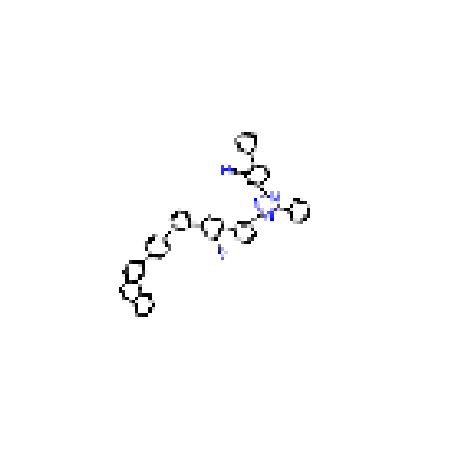 N#Cc1cc(-c2cccc(-c3ccc(-c4ccc5ccc6ccccc6c5c4)cc3)c2)ccc1-c1cccc(-c2nc(-c3ccccc3)nc(-c3ccc(-c4ccccc4)c(C#N)c3)n2)c1